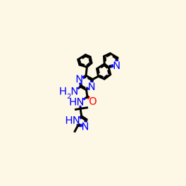 Cc1ncc(C(C)(C)NC(=O)c2nc(-c3ccc4ncccc4c3)c(-c3ccccc3)nc2N)[nH]1